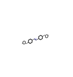 COCc1ccc(/C=C/c2ccc(COC)cc2)cc1